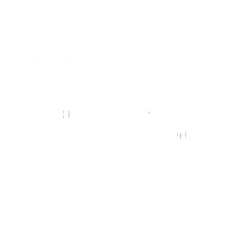 OC(c1ccc(C(O)c2ccc3ccc4cccc5ccc2c3c45)cc1)c1ccc2ccc3cccc4ccc1c2c34